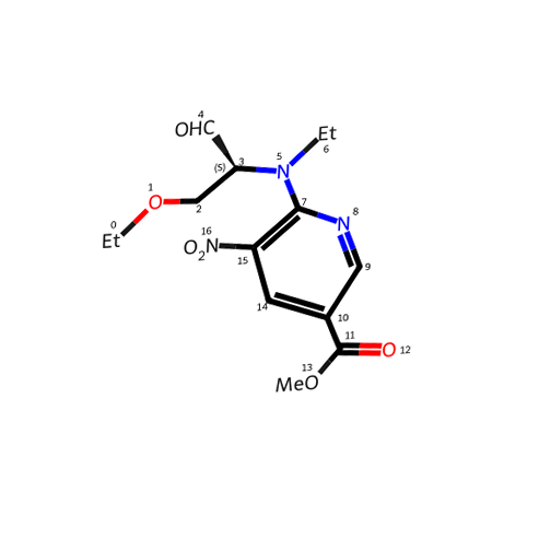 CCOC[C@@H](C=O)N(CC)c1ncc(C(=O)OC)cc1[N+](=O)[O-]